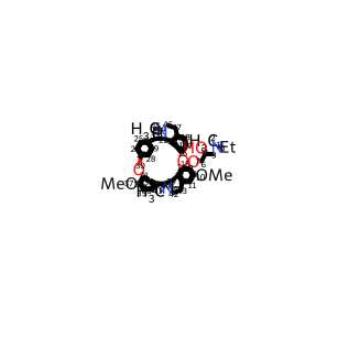 CCN(C)CC(O)COc1c(OC)cc2c3c1Oc1ccc4c(c1)[C@H](Cc1ccc(cc1)Oc1cc(ccc1OC)C[C@@H]3N(C)CC2)N(C)CC4